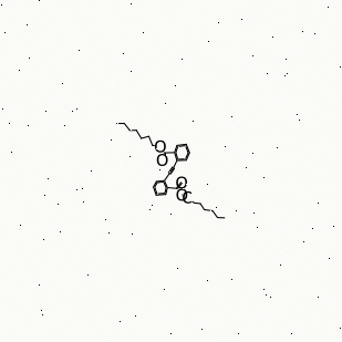 CCCCCCCOC(=O)c1ccccc1C#Cc1ccccc1C(=O)OCCCCCCC